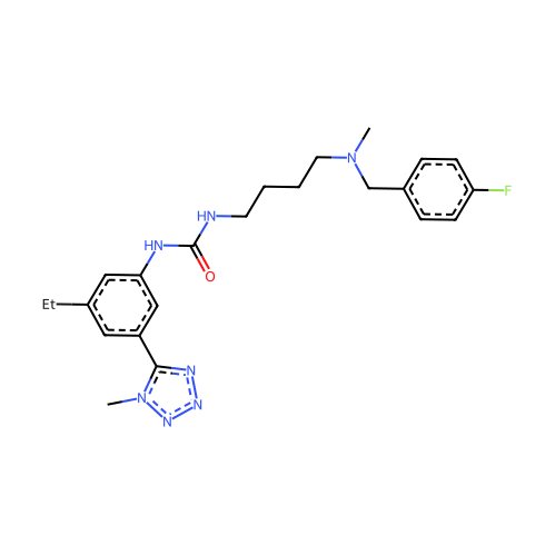 CCc1cc(NC(=O)NCCCCN(C)Cc2ccc(F)cc2)cc(-c2nnnn2C)c1